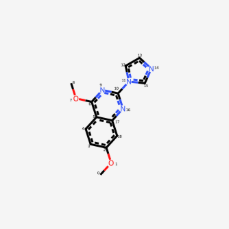 COc1ccc2c(OC)nc(-n3ccnc3)nc2c1